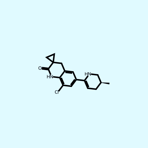 C[C@H]1CC=C(c2cc(Cl)c3c(c2)CC2(CC2)C(=O)N3)NC1